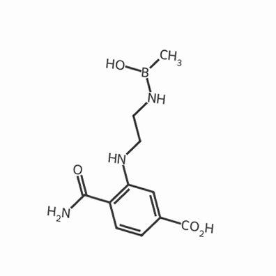 CB(O)NCCNc1cc(C(=O)O)ccc1C(N)=O